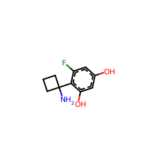 NC1(c2c(O)cc(O)cc2F)CCC1